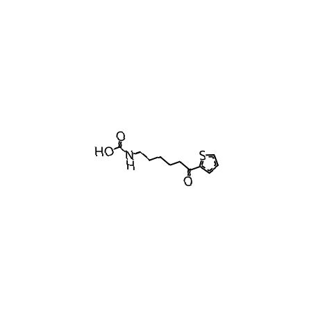 O=C(O)NCCCCCC(=O)c1cccs1